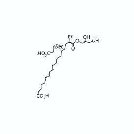 CCC(CCCCCCCCCCCCCCCC(=O)O)C(=O)OCC(O)CO.CCCCCCCCCCCC(=O)O